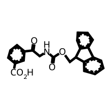 O=C(NCC(=O)c1cccc(C(=O)O)c1)OCC1c2ccccc2-c2ccccc21